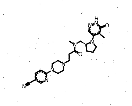 Cc1c(N2CCC[C@H]2CN(C)C(=O)CCN2CCN(c3ccc(C#N)cn3)CC2)cn[nH]c1=O